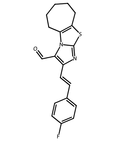 O=Cc1c(/C=C/c2ccc(F)cc2)nc2sc3c(n12)CCCCC3